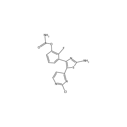 NC(=O)Oc1cccc(-c2nc(N)sc2-c2ccnc(Cl)n2)c1F